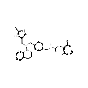 Cc1ncc(CN(Cc2ccc(CNC(=O)Oc3c(C)ncnc3C)cc2)C2CCCc3cccnc32)[nH]1